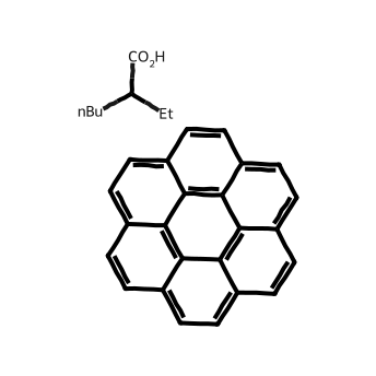 CCCCC(CC)C(=O)O.c1cc2ccc3ccc4ccc5ccc6ccc1c1c2c3c4c5c61